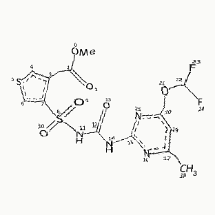 COC(=O)c1cscc1S(=O)(=O)NC(=O)Nc1nc(C)cc(OC(F)F)n1